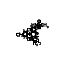 Cc1cc(Cl)cc(C)c1N1C(=O)C(C)(C)Oc2cc(NS(C)(=O)=O)ccc21